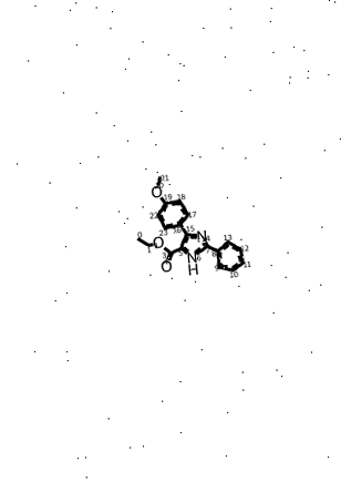 CCOC(=O)c1[nH]c(-c2ccccc2)nc1-c1ccc(OC)cc1